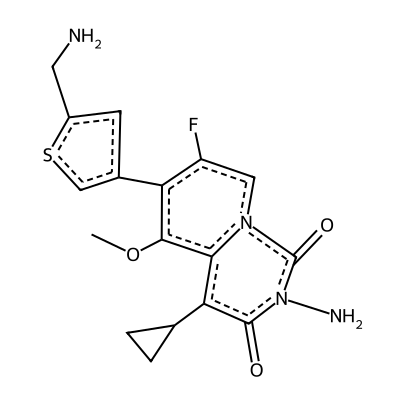 COc1c(-c2csc(CN)c2)c(F)cn2c(=O)n(N)c(=O)c(C3CC3)c12